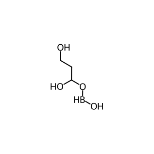 OBOC(O)CCO